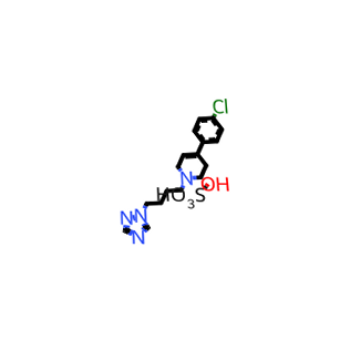 Clc1ccc(C2=CCN(CCCCn3cncn3)CC2)cc1.O=S(=O)(O)O